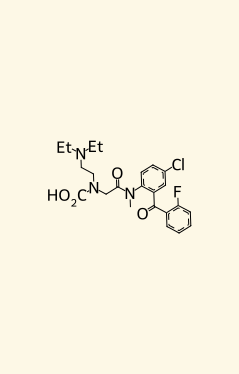 CCN(CC)CCN(CC(=O)N(C)c1ccc(Cl)cc1C(=O)c1ccccc1F)C(=O)O